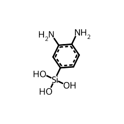 Nc1ccc([Si](O)(O)O)cc1N